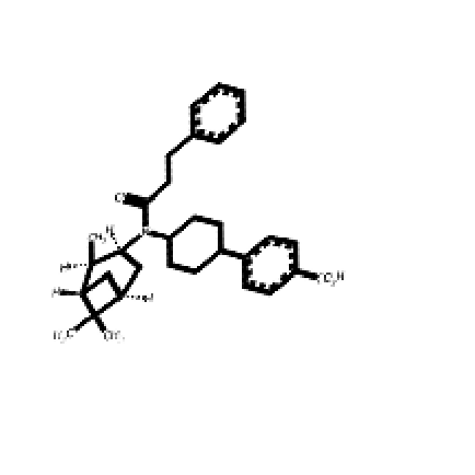 C[C@H]1[C@@H](N(C(=O)CCc2ccccc2)C2CCC(c3ccc(C(=O)O)cc3)CC2)C[C@@H]2C[C@@H]1C2(C)C